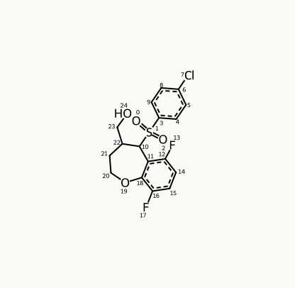 O=S(=O)(c1ccc(Cl)cc1)C1c2c(F)ccc(F)c2OCCC1CO